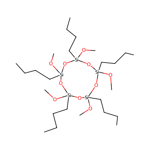 CCCC[Si]1(OC)O[Si](CCCC)(OC)O[Si](CCCC)(OC)O[Si](CCCC)(OC)O[Si](CCCC)(OC)O1